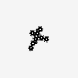 c1ccc(-c2ccc(N(c3ccc4c(c3)oc3cc(-c5ccccc5)ccc34)c3cc4c5ccccc5oc4c4c3sc3ccccc34)cc2)cc1